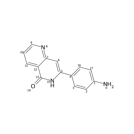 Nc1ccc(-c2cc3ncccc3c(=O)[nH]2)cc1